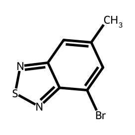 Cc1cc(Br)c2nsnc2c1